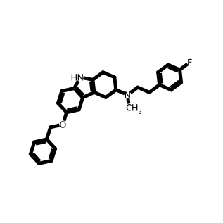 CN(CCc1ccc(F)cc1)C1CCc2[nH]c3ccc(OCc4ccccc4)cc3c2C1